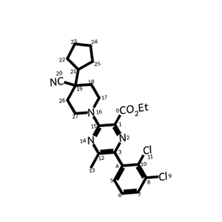 CCOC(=O)c1nc(-c2cccc(Cl)c2Cl)c(C)nc1N1CCC(C#N)(C2CCCC2)CC1